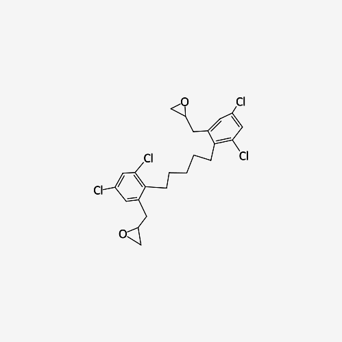 Clc1cc(Cl)c(CCCCCc2c(Cl)cc(Cl)cc2CC2CO2)c(CC2CO2)c1